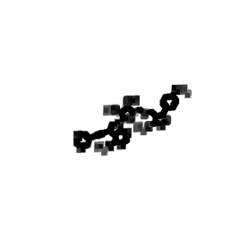 Cc1noc(-c2ccc(N)cc2)c1CSC[C@H]1O[C@@H](n2cc(C#Cc3cncnc3)c3c(N)ncnc32)[C@H](O)[C@@H]1O